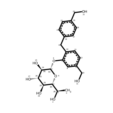 C[C@@H](O)[C@H]1O[C@@H](Oc2cc(CO)ccc2Cc2ccc(CO)cc2)[C@H](O)[C@@H](O)[C@@H]1O